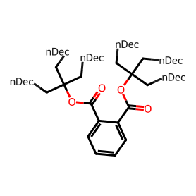 CCCCCCCCCCCC(CCCCCCCCCCC)(CCCCCCCCCCC)OC(=O)c1ccccc1C(=O)OC(CCCCCCCCCCC)(CCCCCCCCCCC)CCCCCCCCCCC